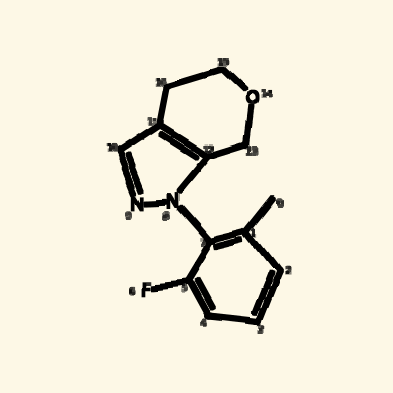 Cc1cccc(F)c1-n1ncc2c1COCC2